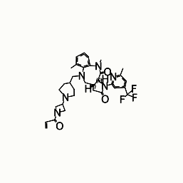 C=CC(=O)N1CC(N2CCC(CN3C[C@H]4CC(=O)N(c5cc(C(F)(F)F)cc(C)n5)[C@@H]4C(=O)N(C)c4cccc(C)c43)CC2)C1